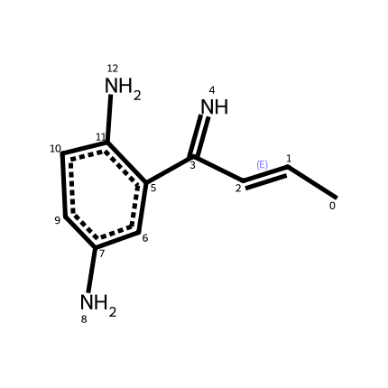 C/C=C/C(=N)c1cc(N)ccc1N